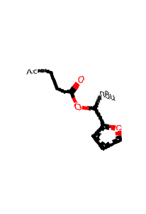 CCCCC(OC(=O)CCC(C)=O)c1ccco1